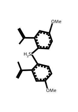 C=C(C)c1cc(OC)ccc1[SiH2]c1ccc(OC)cc1C(=C)C